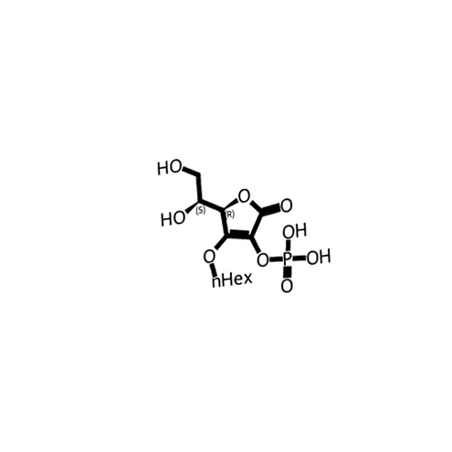 CCCCCCOC1=C(OP(=O)(O)O)C(=O)O[C@@H]1[C@@H](O)CO